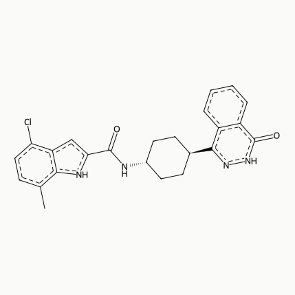 Cc1ccc(Cl)c2cc(C(=O)N[C@H]3CC[C@H](c4n[nH]c(=O)c5ccccc54)CC3)[nH]c12